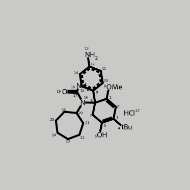 COC1=CC(C(C)(C)C)=C(O)CC1(c1ccc(N)cc1)N(C(N)=O)C1CCCCCC1.Cl